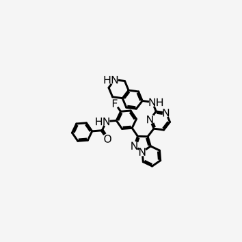 O=C(Nc1cc(-c2nn3ccccc3c2-c2ccnc(Nc3ccc4c(c3)CNCC4)n2)ccc1F)c1ccccc1